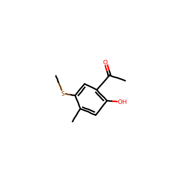 CSc1cc(C(C)=O)c(O)cc1C